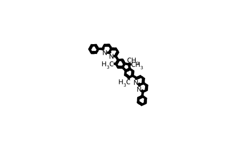 Cc1cc2c(cc1-c1ccc3ccc(-c4ccccc4)nc3n1)C(C)(C)c1cc(-c3ccc4ccc(-c5ccccc5)nc4n3)c(C)cc1-2